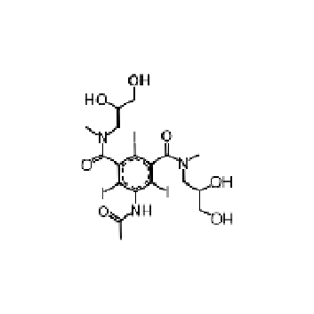 CC(=O)Nc1c(I)c(C(=O)N(C)CC(O)CO)c(I)c(C(=O)N(C)CC(O)CO)c1I